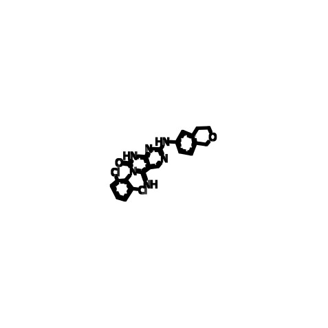 N=c1c2cnc(Nc3ccc4c(c3)CCOC4)nc2[nH]c(=O)n1-c1c(Cl)cccc1Cl